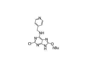 CCCCOc1nc2c(NCc3ccncc3)nc(Cl)nc2[nH]1